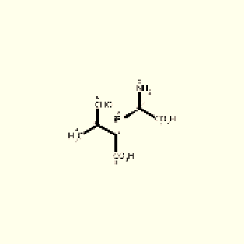 CC(C)[C@@H](N)C(=O)O.CC(C=O)CC(=O)O